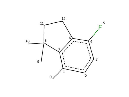 Cc1ccc(F)c2c1C(C)(C)CC2